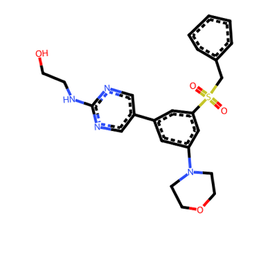 O=S(=O)(Cc1ccccc1)c1cc(-c2cnc(NCCO)nc2)cc(N2CCOCC2)c1